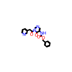 O=C(Nc1cncn(C(=O)Cc2cccnc2)c1=O)OCc1ccccc1